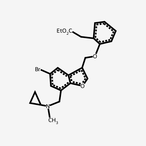 CCOC(=O)Cc1ccccc1OCc1coc2c(CN(C)C3CC3)cc(Br)cc12